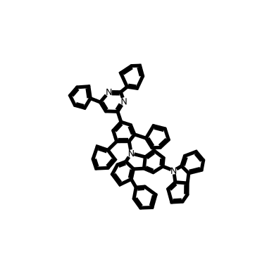 c1ccc(-c2cc(-c3cc(-c4ccccc4)c(-n4c5ccc(-n6c7ccccc7c7ccccc76)cc5c5c(-c6ccccc6)cccc54)c(-c4ccccc4)c3)nc(-c3ccccc3)n2)cc1